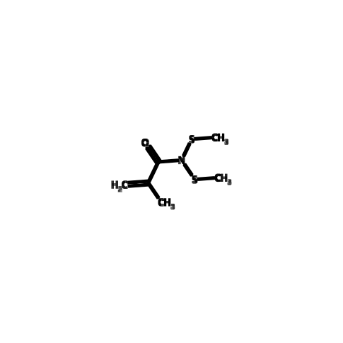 C=C(C)C(=O)N(SC)SC